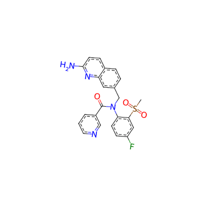 CS(=O)(=O)c1cc(F)ccc1N(Cc1ccc2ccc(N)nc2c1)C(=O)c1cccnc1